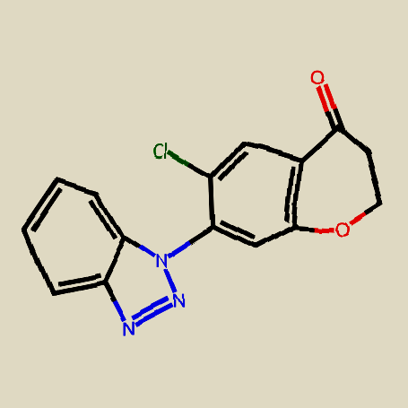 O=C1CCOc2cc(-n3nnc4ccccc43)c(Cl)cc21